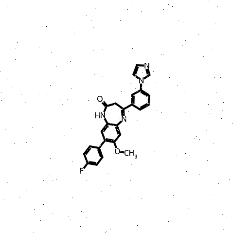 COc1cc2c(cc1-c1ccc(F)cc1)NC(=O)CC(c1cccc(-n3ccnc3)c1)=N2